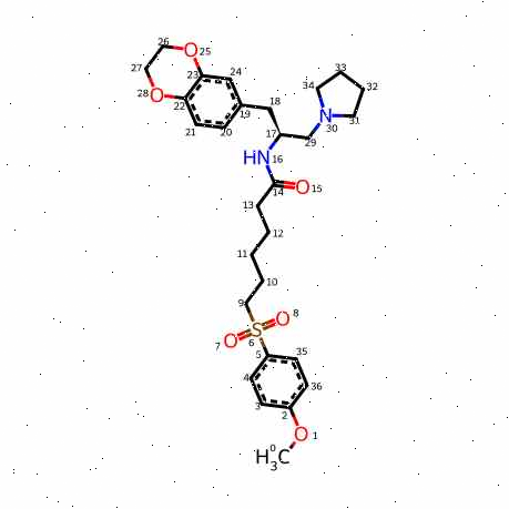 COc1ccc(S(=O)(=O)CCCCCC(=O)N[C@@H](Cc2ccc3c(c2)OCCO3)CN2CCCC2)cc1